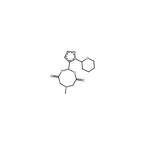 CN1CC(=O)OB(c2ccnn2C2CCCCO2)OC(=O)C1